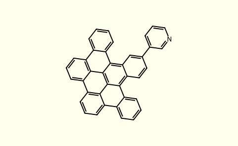 c1cncc(-c2ccc3c(c2)c2c4ccccc4c4cccc5c6cccc7c8ccccc8c3c(c76)c2c45)c1